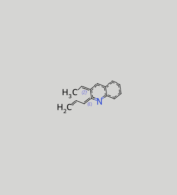 C=C/C=c1/nc2ccccc2c/c1=C/C